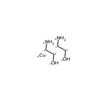 NCCO.NCCO.[Cu]